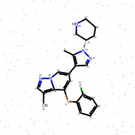 Cc1c(-c2cc(Sc3ccccc3F)c3c(C#N)cnn3c2)cnn1[C@H]1CCCNC1